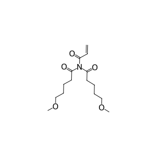 C=CC(=O)N(C(=O)CCCCOC)C(=O)CCCCOC